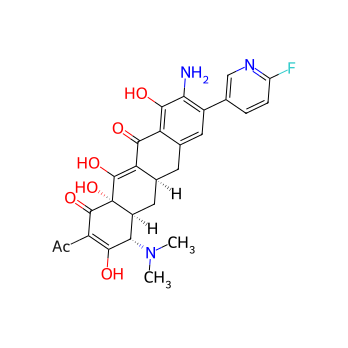 CC(=O)C1=C(O)[C@@H](N(C)C)[C@@H]2C[C@@H]3Cc4cc(-c5ccc(F)nc5)c(N)c(O)c4C(=O)C3=C(O)[C@]2(O)C1=O